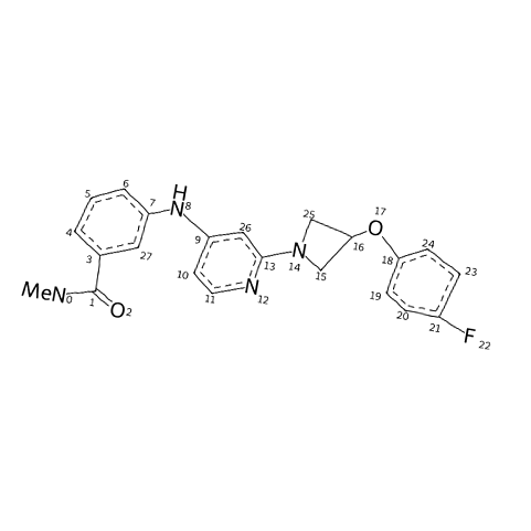 CNC(=O)c1cccc(Nc2ccnc(N3CC(Oc4ccc(F)cc4)C3)c2)c1